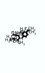 CC(C)[C@H](Cc1ccc(C(C)(C)C)cc1)C(=C=O)[C@@](N)(C=O)OC(C)(C)C